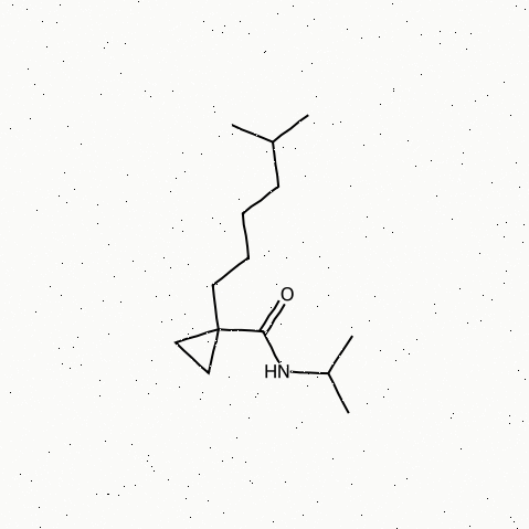 CC(C)CCCCC1(C(=O)NC(C)C)CC1